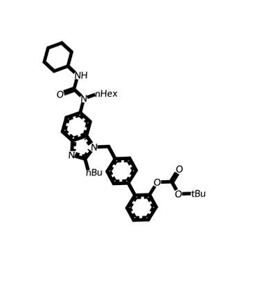 CCCCCCN(C(=O)NC1CCCCC1)c1ccc2nc(CCCC)n(Cc3ccc(-c4ccccc4OC(=O)OC(C)(C)C)cc3)c2c1